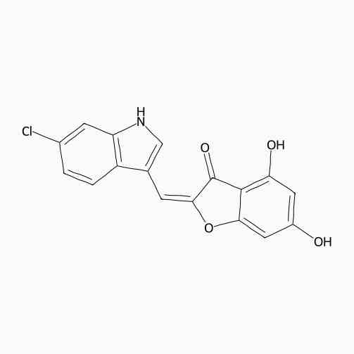 O=C1C(=Cc2c[nH]c3cc(Cl)ccc23)Oc2cc(O)cc(O)c21